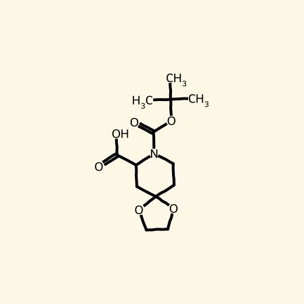 CC(C)(C)OC(=O)N1CCC2(CC1C(=O)O)OCCO2